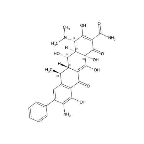 C[C@@H]1c2cc(-c3ccccc3)c(N)c(O)c2C(=O)C2=C(O)[C@]3(O)C(=O)C(C(N)=O)=C(O)[C@@H](N(C)C)[C@@H]3[C@@H](O)[C@H]21